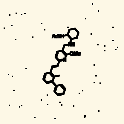 COc1nc(/C=C/c2cccc(-c3ccccc3)c2C)ccc1CNC1CCCCC1NC(C)=O